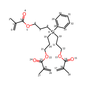 C=C(C)C(=O)OCCC[Si](CCCOC(=O)C(=C)C)(CCCOC(=O)C(=C)C)c1ccccc1